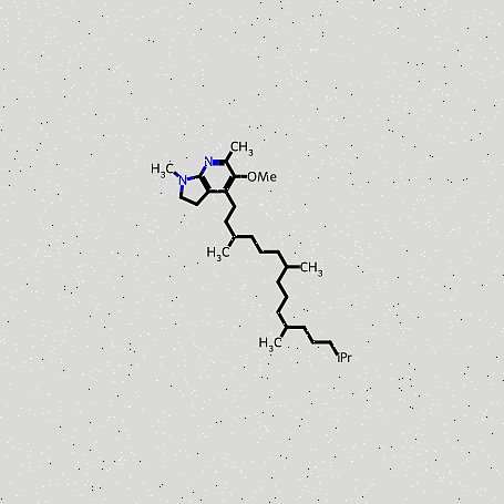 COc1c(C)nc2c(c1CCC(C)CCCC(C)CCCC(C)CCCC(C)C)CCN2C